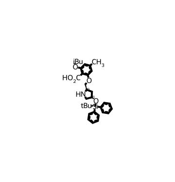 CCC(C)Oc1cc(C)cc(OC[C@H]2C[C@@H](O[Si](c3ccccc3)(c3ccccc3)C(C)(C)C)CN2)c1C(=O)O